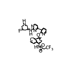 O=S(=O)(CC(F)(F)F)Nc1ccc(Oc2ncccc2-c2ccnc(N[C@@H]3CNC[C@@H](F)C3)n2)c2ccccc12